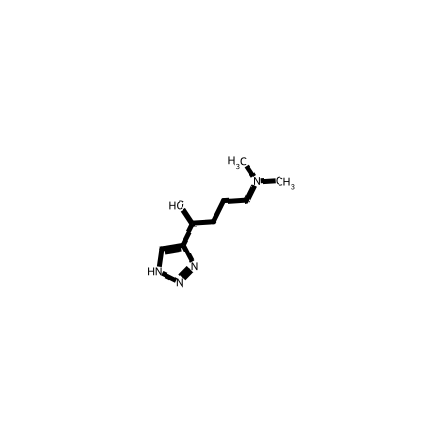 CN(C)CCCC(O)c1c[nH]nn1